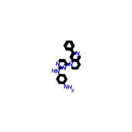 N[C@H]1CC[C@H](Nc2nccc(N3CCCc4cnc(-c5ccccc5)cc43)n2)CC1